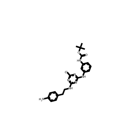 CC(C)(C)OC(=O)Nc1cccc(Nc2nc(Cl)nc(NCCc3ccc(N)cc3)n2)c1